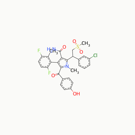 Cc1c(F)ccc(F)c1-c1c(C(N)=O)c(C(CS(C)(=O)=O)c2cccc(Cl)c2)n(C)c1C(=O)c1ccc(O)cc1